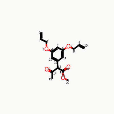 C=CCOc1cc(OCC=C)cc(C(C(C)=O)C(=O)OC)c1